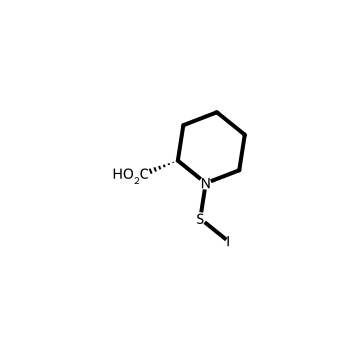 O=C(O)[C@@H]1CCCCN1SI